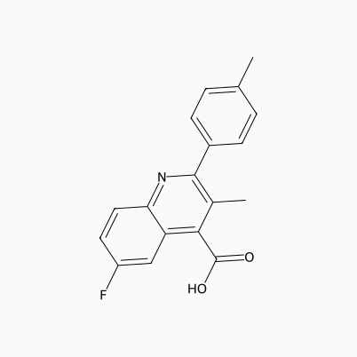 Cc1ccc(-c2nc3ccc(F)cc3c(C(=O)O)c2C)cc1